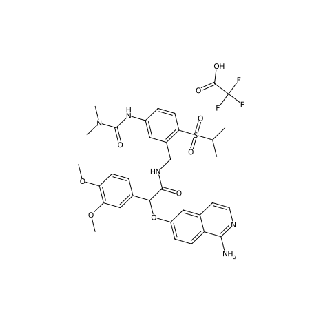 COc1ccc(C(Oc2ccc3c(N)nccc3c2)C(=O)NCc2cc(NC(=O)N(C)C)ccc2S(=O)(=O)C(C)C)cc1OC.O=C(O)C(F)(F)F